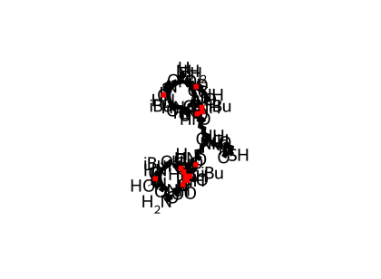 CCC(C)[C@@H]1NC(=O)[C@@H]2CCCN2C(=O)[C@H](CC(N)=O)NC(=O)[C@@H]2CSc3[nH]c4ccc(NC(=O)CCCNP(=O)(NCCCC(=O)Nc5ccc6[nH]c7c(c6c5)C[C@@H]5NC(=O)[C@H](C(C)CC)NC(=O)[C@@H]6C[C@@H](O)CN6C(=O)[C@H](CC(N)=O)NC(=O)[C@H](CS7)NC(=O)CNC(=O)[C@H]([C@@H](C)CC)NC(=O)CNC5=O)NCCCN5C(=O)CC(S)C5=O)cc4c3C[C@H](NC1=O)C(=O)NCC(=O)N[C@@H]([C@@H](C)CC)C(=O)NCC(=O)N2